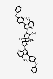 Nc1ncnc2c1c(-c1ccc(Oc3ccccc3)cc1)cn2C1CCC(O)(C2(O)CC(n3cc(-c4ccc(Oc5ccccc5)cc4)c4c(N)ncnc43)C(O)C2O)C1